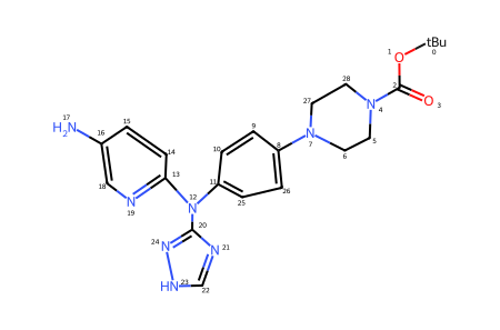 CC(C)(C)OC(=O)N1CCN(c2ccc(N(c3ccc(N)cn3)c3nc[nH]n3)cc2)CC1